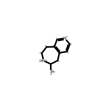 CC(C)C1Cc2ccncc2CCN1